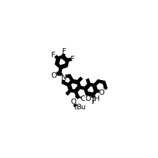 Cc1c(-c2c(C)c3c(c(C)c2[C@H](OC(C)(C)C)C(=O)O)CN(C(=O)c2cc(F)c(F)c(F)c2)C3)cc(F)c2c1CCCO2